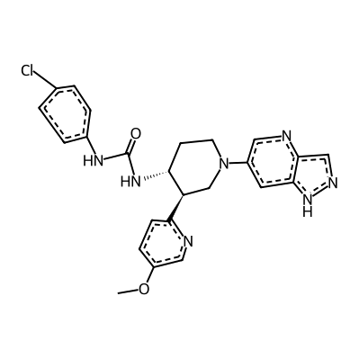 COc1ccc([C@@H]2CN(c3cnc4cn[nH]c4c3)CC[C@H]2NC(=O)Nc2ccc(Cl)cc2)nc1